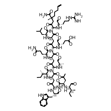 C=CCCC[C@](C)(CC(=O)[C@@H](NC(=O)[C@@H](CC(=O)[C@@H](NC(=O)[C@@H](CC(=O)[C@@H](NC(=O)[C@@H](CC(=O)[C@@H](NC(=O)[C@@H](CC(C)=O)N[C@H](C=O)[C@@H](C)CC)N[C@H](C=O)Cc1c[nH]c2ccccc12)N[C@H](C=O)[C@@H](C)CC)N[C@@H](C)C=O)N[C@H](C=O)CCC(N)=O)N[C@H](C=O)CCC(=O)O)N[C@H](C=O)CC(C)C)N[C@H](C=O)CCCNC(=N)N)C(N)=O